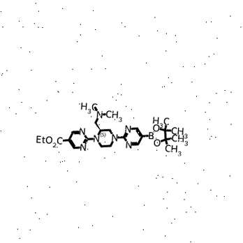 CCOC(=O)c1cnc(N2CCN(c3ncc(B4OC(C)(C)C(C)(C)O4)cn3)C[C@@H]2CN(C)C)nc1